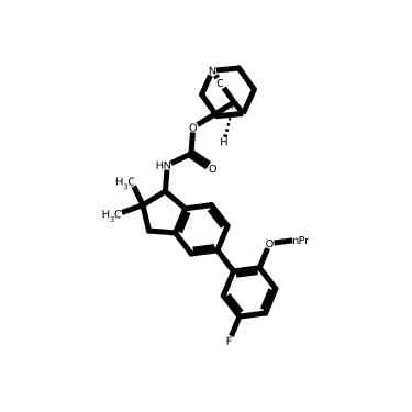 CCCOc1ccc(F)cc1-c1ccc2c(c1)CC(C)(C)C2NC(=O)O[C@H]1CN2CCC1CC2